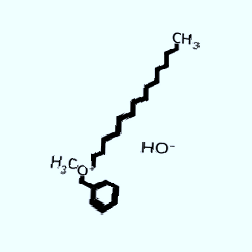 CCCCCCCCCCCCCCCC[O+](C)Cc1ccccc1.[OH-]